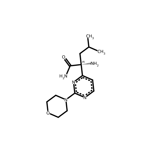 CC(C)C[C@](N)(C(N)=O)c1ccnc(N2CCOCC2)n1